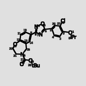 CC(C)Oc1ccc(-c2nc(-c3ccc4c(c3)CN(C(=O)OC(C)(C)C)CCO4)no2)cc1Cl